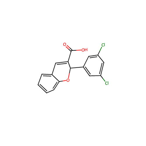 O=C(O)C1=Cc2ccccc2OC1c1cc(Cl)cc(Cl)c1